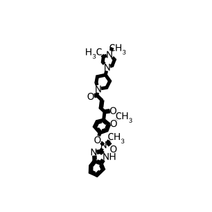 COc1cc(ON(C(C)=O)c2nc3ccccc3[nH]2)ccc1C(=O)/C=C/C(=O)N1CCC(N2CCN(C)C(C)C2)CC1